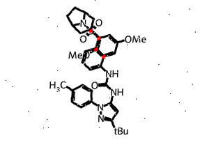 COc1ccc(OC)c(S(=O)(=O)N2C3CCC2CC(Cc2cccc(NC(=O)Nc4cc(C(C)(C)C)nn4-c4ccc(C)cc4)c2)C3)c1